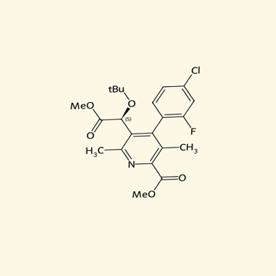 COC(=O)c1nc(C)c([C@H](OC(C)(C)C)C(=O)OC)c(-c2ccc(Cl)cc2F)c1C